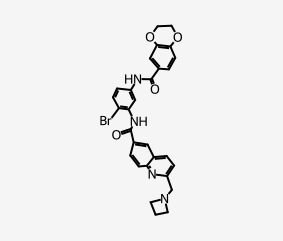 O=C(Nc1ccc(Br)c(NC(=O)c2ccc3nc(CN4CCC4)ccc3c2)c1)c1ccc2c(c1)OCCO2